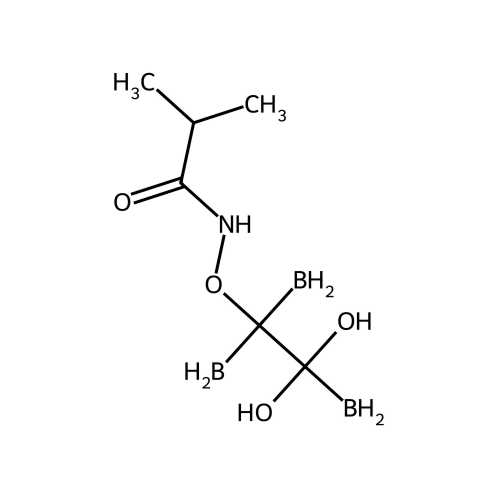 BC(O)(O)C(B)(B)ONC(=O)C(C)C